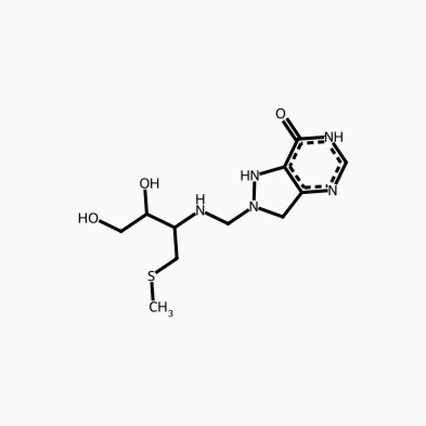 CSCC(NCN1Cc2nc[nH]c(=O)c2N1)C(O)CO